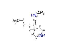 CCCCCC1(C#CNC)CCNCC1